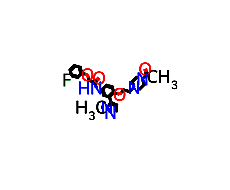 CC(=O)N1CCN(CCOc2ccc(NC(=O)COc3cccc(F)c3)cc2-c2ccnn2C)CC1